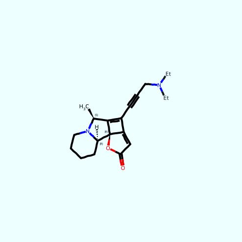 CCN(CC)CC#CC1=C2[C@H](C)N3CCCC[C@@H]3[C@]23OC(=O)C=C13